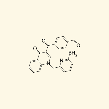 Bc1cccc(Cn2cc(C(=O)c3ccc(C=O)cc3)c(=O)c3ccccc32)n1